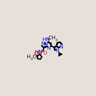 CNc1cc(-c2cn(C3CC3)c3ncccc23)nc2c(C(=O)NC3CCC[C@@]3(C)O)cnn12